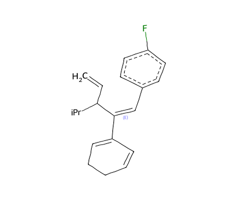 C=CC(/C(=C\c1ccc(F)cc1)C1=CCCC=C1)C(C)C